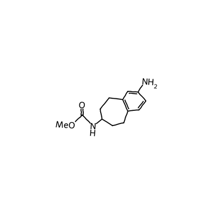 COC(=O)NC1CCc2ccc(N)cc2CC1